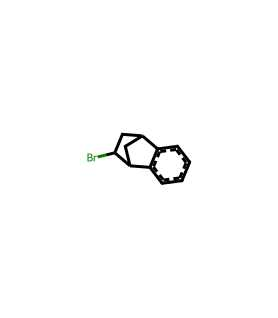 BrC1CC2CC1c1ccccc12